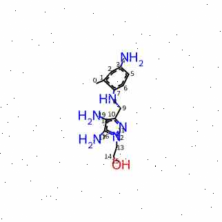 Cc1cc(N)ccc1NCc1nn(CCO)c(N)c1N